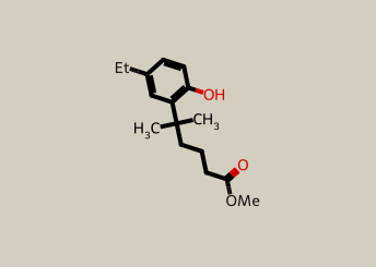 CCc1ccc(O)c(C(C)(C)CCCC(=O)OC)c1